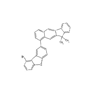 CC1(C)c2ccccc2-c2cc3cccc(-c4ccc5sc6cccc(Br)c6c5c4)c3cc21